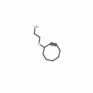 OCCOC1C#CCCCCC1